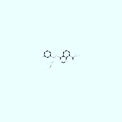 CCNC[C@@H](Nc1ncnc2c(C(N)=O)cccc12)c1cccc(F)c1